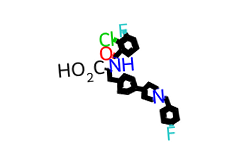 O=C(N[C@@H](Cc1ccc(C2=CCN(Cc3ccc(F)cc3)CC2)cc1)C(=O)O)c1cccc(F)c1Cl